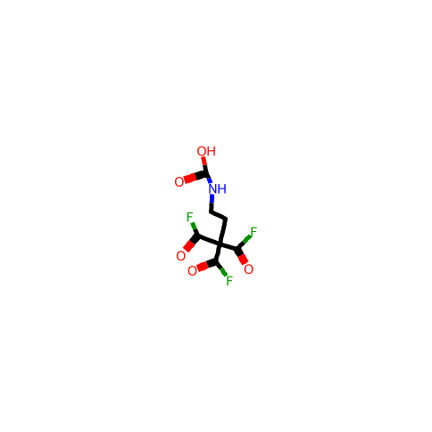 O=C(O)NCCC(C(=O)F)(C(=O)F)C(=O)F